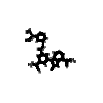 Cc1cc2c(C(N)=O)cccc2n1-c1nc(NCc2cccc(B(O)O)c2)cc(C(N)=O)n1